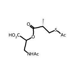 CC(=O)NCC(OC(=O)[C@H](C)CSC(C)=O)C(=O)O